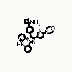 NC1(c2ccc(-c3c(-c4ccc(N5CCOCC5)nc4)nc4n3-c3cccnc3Nc3ccccc3-4)cc2)CCC1